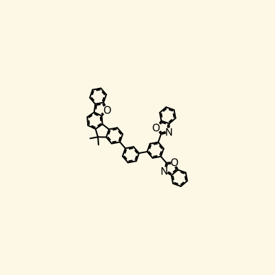 CC1(C)c2cc(-c3cccc(-c4cc(-c5nc6ccccc6o5)cc(-c5nc6ccccc6o5)c4)c3)ccc2-c2c1ccc1c2oc2ccccc21